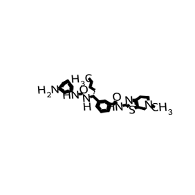 CCCC[C@@H](NC(=O)Nc1cccc(N)c1)c1cccc(C(=O)Nc2nc3c(s2)CN(C)CC3)c1